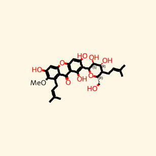 COc1c(O)cc2oc3cc(O)c(C4O[C@@H](CO)C(CC=C(C)C)[C@@H](O)[C@@H]4O)c(O)c3c(=O)c2c1CC=C(C)C